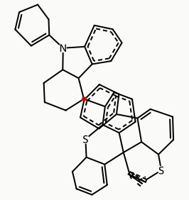 C1=CCCC(N2c3ccccc3C3C(c4cccc5c4SC4CC=CC=C4C54c5ccccc5SC5C=CC=C(c6ccccc6)C54)CCCC32)=C1